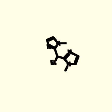 CCC(c1nccn1C)c1nccn1C